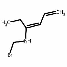 C=C/C=C(\CC)NCBr